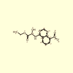 CCOC(=O)N(O)Nc1ncnc2c([N+](=O)[O-])cccc12